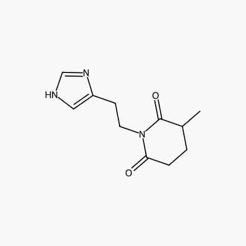 CC1CCC(=O)N(CCc2c[nH]cn2)C1=O